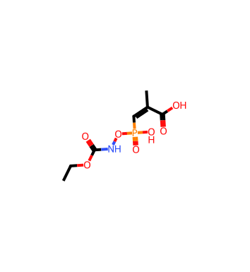 CCOC(=O)NOP(=O)(O)C=C(C)C(=O)O